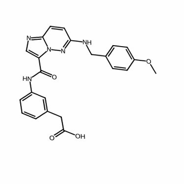 COc1ccc(CNc2ccc3ncc(C(=O)Nc4cccc(CC(=O)O)c4)n3n2)cc1